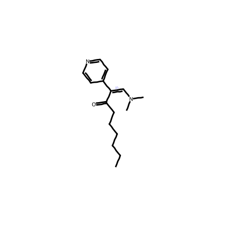 CCCCCCC(=O)/C(=C\N(C)C)c1ccncc1